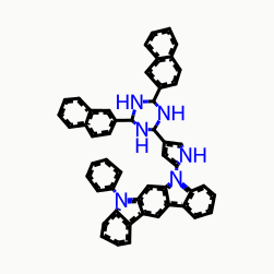 c1ccc(-n2c3ccccc3c3cc4c5ccccc5n(-c5cc(C6NC(c7ccc8ccccc8c7)NC(c7ccc8ccccc8c7)N6)c[nH]5)c4cc32)cc1